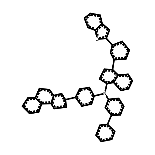 c1ccc(-c2cccc(N(c3ccc(-c4ccc5c(ccc6ccccc65)c4)cc3)c3ccc(-c4cccc(-c5cc6ccccc6o5)c4)c4ccccc34)c2)cc1